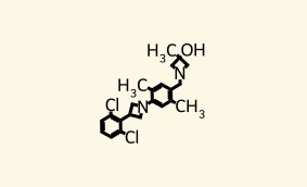 Cc1cc(N2CC(c3c(Cl)cccc3Cl)C2)c(C)cc1CN1CC(C)(O)C1